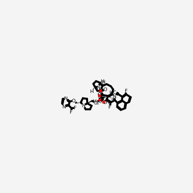 C#Cc1c(F)ccc2cccc(-c3nc4c5c(nc(OC[C@@]67CCCN6[C@H](COc6nccnc6C(F)F)CC7)nc5c3F)N3C[C@H]5CC[C@@H]([C@H]3CCC4)N5C(=O)OC(C)(C)C)c12